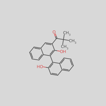 CC(C)(C)C(=O)c1cc2ccccc2c(-c2c(O)ccc3ccccc23)c1O